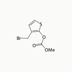 COC(=O)Oc1sccc1CBr